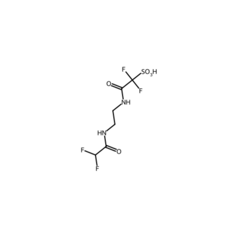 O=C(NCCNC(=O)C(F)(F)S(=O)(=O)O)C(F)F